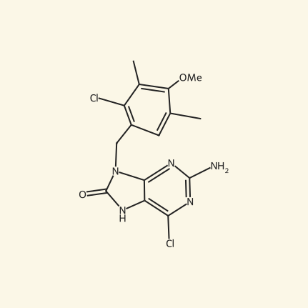 COc1c(C)cc(Cn2c(=O)[nH]c3c(Cl)nc(N)nc32)c(Cl)c1C